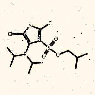 CC(C)COS(=O)(=O)c1c(Cl)sc(Cl)c1P(C(C)C)C(C)C